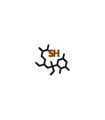 CCC(CCC(C)C(C)S)CC(C)(CC)C1CC(C)CC(C)C1C